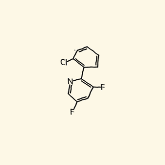 Fc1cnc(-c2ccc[c]c2Cl)c(F)c1